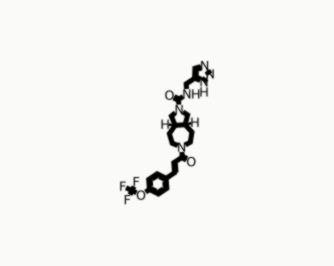 O=C(C=Cc1ccc(OC(F)(F)F)cc1)N1CC[C@@H]2CN(C(=O)NCc3cnn[nH]3)C[C@@H]2CC1